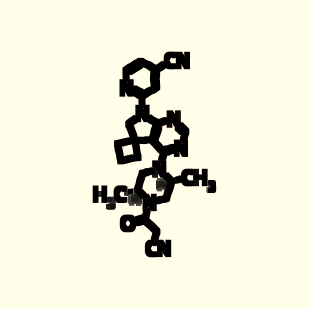 C[C@@H]1CN(c2ncnc3c2C2(CCC2)CN3c2cc(C#N)ccn2)[C@@H](C)CN1C(=O)CC#N